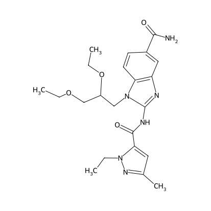 CCOCC(Cn1c(NC(=O)c2cc(C)nn2CC)nc2cc(C(N)=O)ccc21)OCC